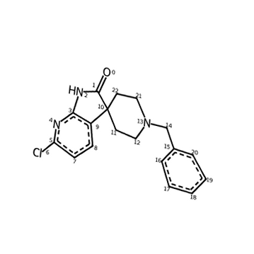 O=C1Nc2nc(Cl)ccc2C12CCN(Cc1ccccc1)CC2